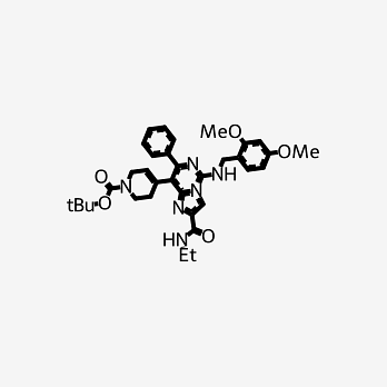 CCNC(=O)c1cn2c(NCc3ccc(OC)cc3OC)nc(-c3ccccc3)c(C3=CCN(C(=O)OC(C)(C)C)CC3)c2n1